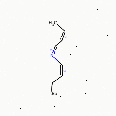 C\C=C/C=N\C=C/CC(C)(C)C